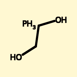 OCCO.P